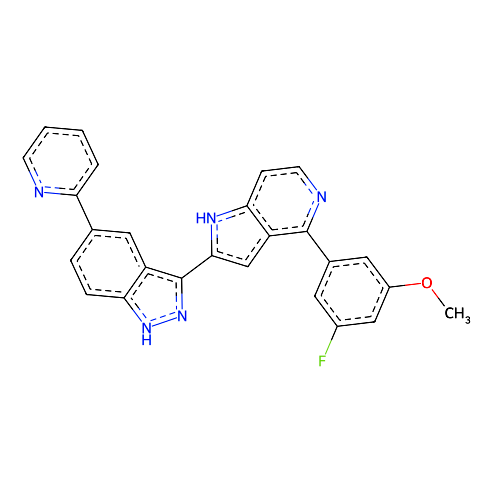 COc1cc(F)cc(-c2nccc3[nH]c(-c4n[nH]c5ccc(-c6ccccn6)cc45)cc23)c1